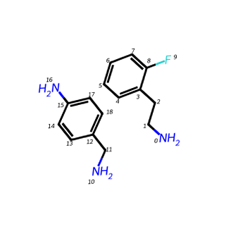 NCCc1ccccc1F.NCc1ccc(N)cc1